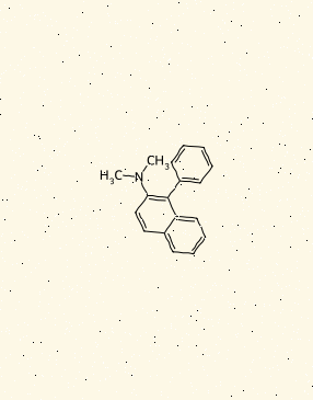 CN(C)c1ccc2ccccc2c1-c1ccccc1